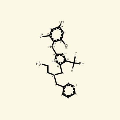 CCCN(Cc1cccnc1)Cc1sc(Nc2c(Cl)cc(Cl)cc2Cl)nc1C(F)(F)F